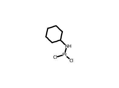 [Cl][Pt]([Cl])[NH]C1CCCCC1